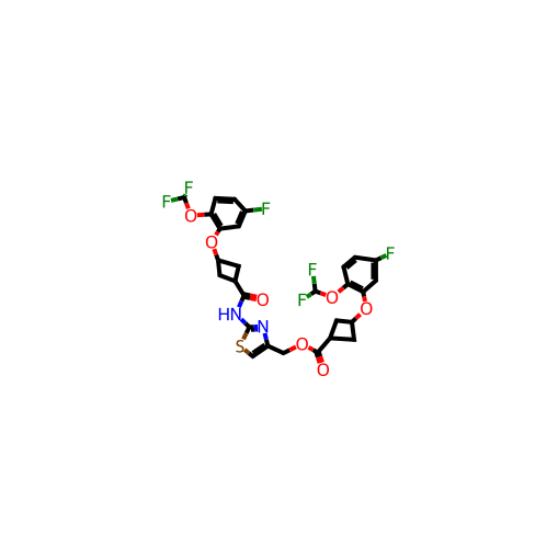 O=C(Nc1nc(COC(=O)C2CC(Oc3cc(F)ccc3OC(F)F)C2)cs1)C1CC(Oc2cc(F)ccc2OC(F)F)C1